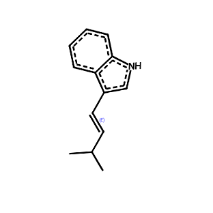 CC(C)/C=C/c1c[nH]c2ccccc12